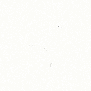 O=[N+]([O-])c1ccc2c(c1)C(OS(=O)(=O)C(F)(F)F)=NC(CF)(CF)O2